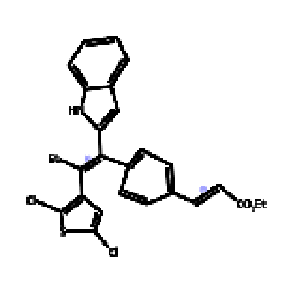 CCOC(=O)/C=C/c1ccc(/C(=C(/CC)c2cc(Cl)sc2Cl)c2cc3ccccc3[nH]2)cc1